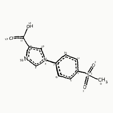 CS(=O)(=O)c1ccc(-n2cnc(C(=O)O)c2)cc1